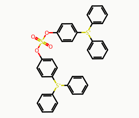 O=S(=O)(Oc1ccc([S+](c2ccccc2)c2ccccc2)cc1)Oc1ccc([S+](c2ccccc2)c2ccccc2)cc1